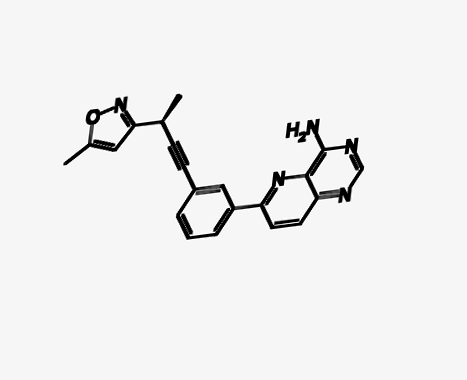 Cc1cc([C@@H](C)C#Cc2cccc(-c3ccc4ncnc(N)c4n3)c2)no1